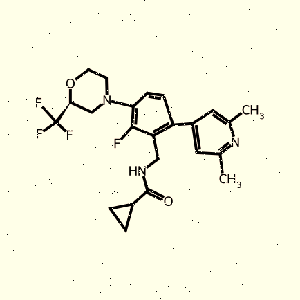 Cc1cc(-c2ccc(N3CCO[C@H](C(F)(F)F)C3)c(F)c2CNC(=O)C2CC2)cc(C)n1